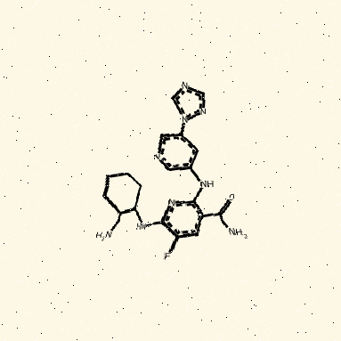 NC(=O)c1cc(F)c(NC2CCCCC2N)nc1Nc1cncc(-n2cncn2)c1